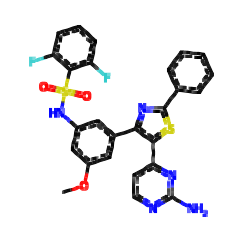 COc1cc(NS(=O)(=O)c2c(F)cccc2F)cc(-c2nc(-c3ccccc3)sc2-c2ccnc(N)n2)c1